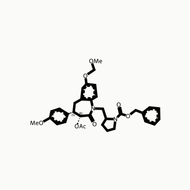 COCOc1ccc2c(c1)C[C@@H](c1ccc(OC)cc1)[C@@H](OC(C)=O)C(=O)N2CC1CCCN1C(=O)OCc1ccccc1